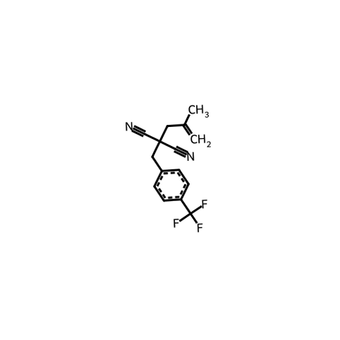 C=C(C)CC(C#N)(C#N)Cc1ccc(C(F)(F)F)cc1